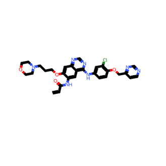 C=CC(=O)Nc1cc2c(Nc3ccc(OCc4ccncn4)c(Cl)c3)ncnc2cc1OCCCN1CCOCC1